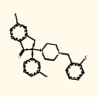 Cc1cccc(C2(N3CCN(Cc4ccccc4Cl)CC3)Cc3cc(F)ccc3C2=O)c1